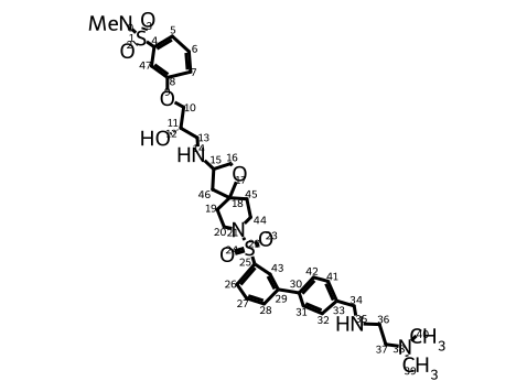 CNS(=O)(=O)c1cccc(OC[C@@H](O)CNC2COC3(CCN(S(=O)(=O)c4cccc(-c5ccc(CNCCN(C)C)cc5)c4)CC3)C2)c1